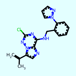 C=C(C)c1cnc2c(NCc3ccccc3-n3cccn3)nc(Cl)nn12